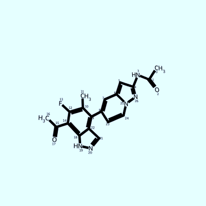 CC(=O)Nc1cc2cc(-c3c(C)c(F)c(C(C)=O)c4[nH]ncc34)ccn2n1